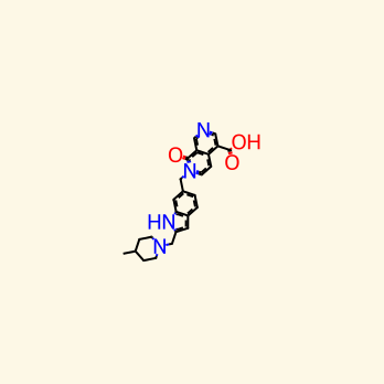 CC1CCN(Cc2cc3ccc(Cn4ccc5c(C(=O)O)cncc5c4=O)cc3[nH]2)CC1